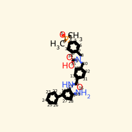 CP(C)(=O)c1ccc(CN(Cc2ccc(C(=O)Nc3cc(-c4ccccc4)ccc3N)cc2)C(=O)O)cc1